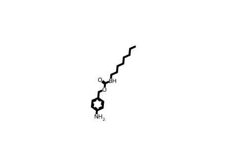 CCCCCCCCBC(=O)OCc1ccc(N)cc1